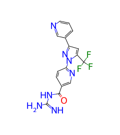 N=C(N)NC(=O)c1ccc(-n2nc(-c3cccnc3)cc2C(F)(F)F)nc1